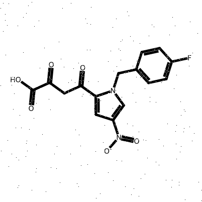 O=C(O)C(=O)CC(=O)c1cc([N+](=O)[O-])cn1Cc1ccc(F)cc1